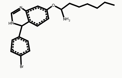 CCCCCCC(N)Oc1ccc2c(c1)N=CNC2c1ccc(Br)cc1